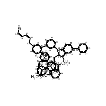 C/C=C(C)\C(=C/c1c(C)c2cc(-c3ccccc3)ccc2n1-c1cccc(-c2cc(C/C=C\C=C/CC)ccc2NC(C)/C=C\C(=C/C)c2ccccc2)c1)S(c1ccccc1)(c1ccccc1)c1ccccc1C